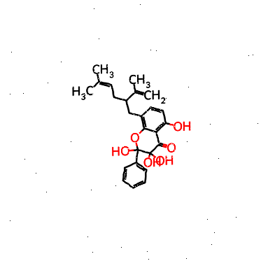 C=C(C)C(CC=C(C)C)Cc1ccc(O)c2c1OC(O)(c1ccccc1)C(O)(O)C2=O